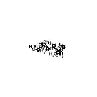 COc1c(Cl)cccc1NC(=S)C1=C(NCc2ccncc2OCCN(C)C(=O)OC2=C(C(=S)Nc3cccc(Cl)c3OC)C(=O)NC(C)(C)C2)CC(C)(C)NC1=O